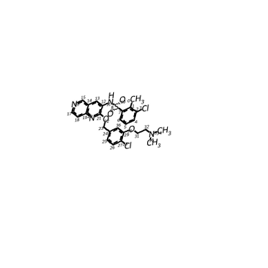 Cc1c(Cl)cccc1S(=O)(=O)Nc1cc2cnccc2nc1OCc1ccc(Cl)c(OCCN(C)C)c1